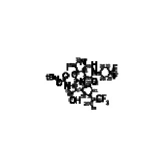 CC(C)(C)OC(=O)N1C[C@H](O)C[C@@H]1C(=O)N(c1ccc(C2(C(F)(F)F)CC2)cc1)C(C(=O)NC1CCC(F)(F)CC1)c1cncc(F)c1